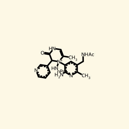 CCCN[N+]1(c2cc(CNC(C)=O)c(C)nc2N)C(C)=CNC(=O)C1c1cccnc1